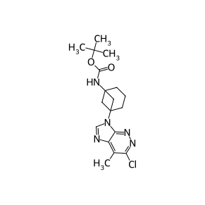 Cc1c(Cl)nnc2c1ncn2C12CCCC(NC(=O)OC(C)(C)C)(C1)C2